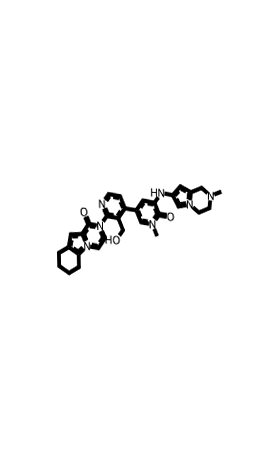 CN1CCn2cc(Nc3cc(-c4ccnc(-n5ccn6c7c(cc6c5=O)CCCC7)c4CO)cn(C)c3=O)cc2C1